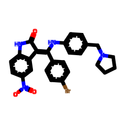 O=C1Nc2ccc([N+](=O)[O-])cc2/C1=C(/Nc1ccc(CN2CCCC2)cc1)c1ccc(Br)cc1